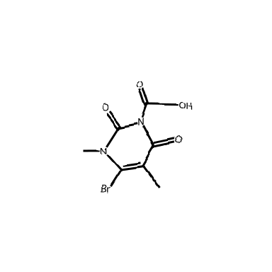 Cc1c(Br)n(C)c(=O)n(C(=O)O)c1=O